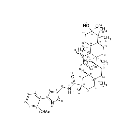 COc1ccccc1-c1cc(CNC(=O)[C@@]2(C)CC[C@]3(C)CC[C@]4(C)C(=CC(=O)C5[C@@]6(C)CC[C@@]([O])(O)C(C)(C)C6CC[C@]54C)[C@H]3C2)on1